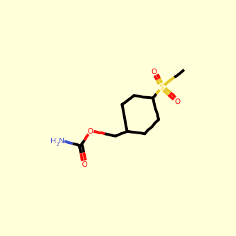 CS(=O)(=O)C1CCC(COC(N)=O)CC1